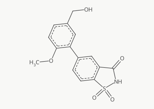 COc1ccc(CO)cc1-c1ccc2c(c1)C(=O)NS2(=O)=O